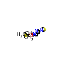 CS(C)(C)CCOCn1ccc2cc(N3CCSCC3)cnc21